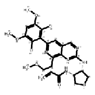 C=CC(=O)N[C@H]1COC[C@H]1Nc1ncc2cc(-c3c(Cl)c(OC)cc(OC)c3Cl)nc(CCOC)c2n1